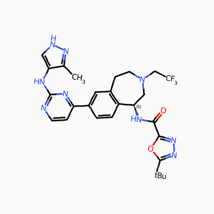 Cc1n[nH]cc1Nc1nccc(-c2ccc3c(c2)CCN(CC(F)(F)F)C[C@H]3NC(=O)c2nnc(C(C)(C)C)o2)n1